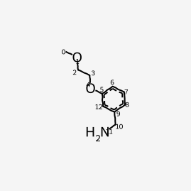 COCCOc1cccc(CN)c1